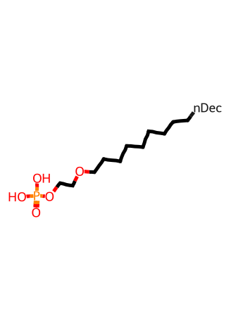 CCCCCCCCCCCCCCCCCCCOCCOP(=O)(O)O